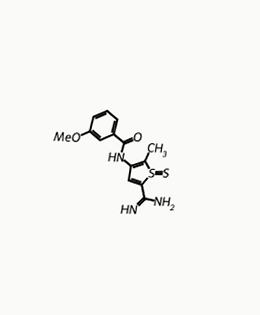 COc1cccc(C(=O)NC2=C(C)S(=S)C(C(=N)N)=C2)c1